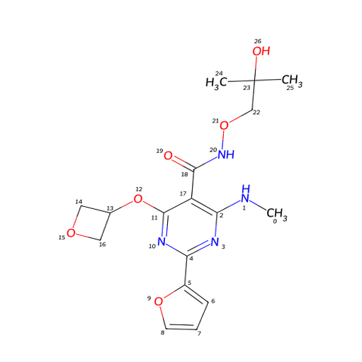 CNc1nc(-c2ccco2)nc(OC2COC2)c1C(=O)NOCC(C)(C)O